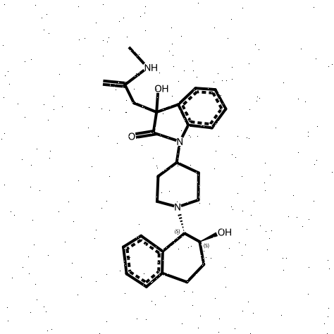 C=C(CC1(O)C(=O)N(C2CCN([C@H]3c4ccccc4CC[C@@H]3O)CC2)c2ccccc21)NC